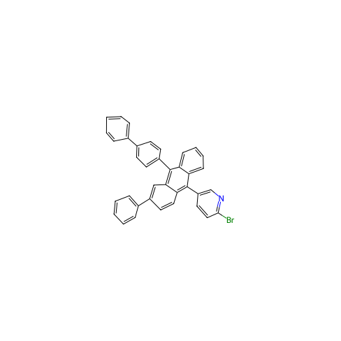 Brc1ccc(-c2c3ccccc3c(-c3ccc(-c4ccccc4)cc3)c3cc(-c4ccccc4)ccc23)cn1